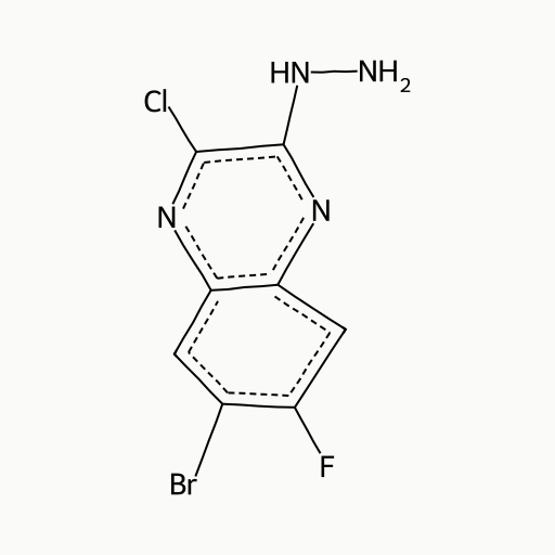 NNc1nc2cc(F)c(Br)cc2nc1Cl